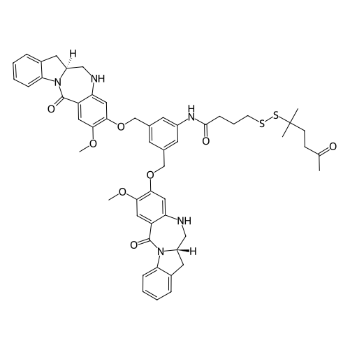 COc1cc2c(cc1OCc1cc(COc3cc4c(cc3OC)C(=O)N3c5ccccc5C[C@H]3CN4)cc(NC(=O)CCCSSC(C)(C)CCC(C)=O)c1)NC[C@@H]1Cc3ccccc3N1C2=O